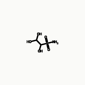 NS(=O)(=O)C(O)C(O)O